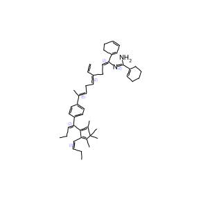 C=C/C(=C\C/C=C(\C)c1ccc(/C(=C/CC)C2=C(C)C(C)(C)C(C)=C2/C=C\CC)cc1)C/C=C(\N=C(/N)C1=CCCCC1)C1=CC=CCC1